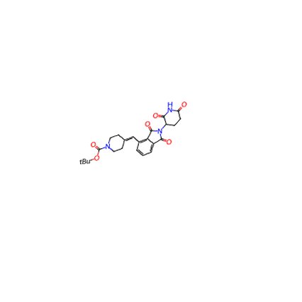 CC(C)(C)OC(=O)N1CCC(=Cc2cccc3c2C(=O)N(C2CCC(=O)NC2=O)C3=O)CC1